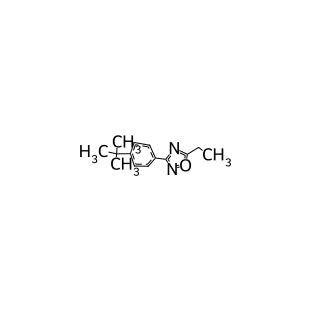 CCc1nc(-c2ccc(C(C)(C)C)cc2)no1